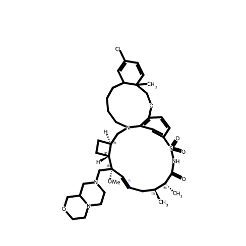 CO[C@@]1(CN2CCN3CCOCC3C2)/C=C/C[C@H](C)[C@@H](C)C(=O)NS(=O)(=O)c2ccc3c(c2)N(CCCCC2C=C(Cl)C=CC2(C)CO3)C[C@@H]2CC[C@H]21